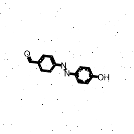 O=CC1=CC=C(N=Nc2ccc(O)cc2)CC1